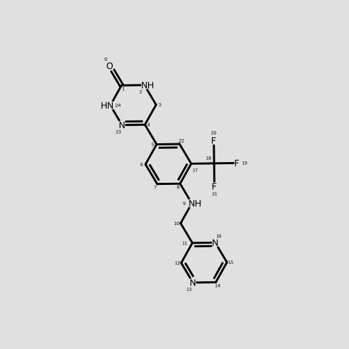 O=C1NCC(c2ccc(NCc3cnccn3)c(C(F)(F)F)c2)=NN1